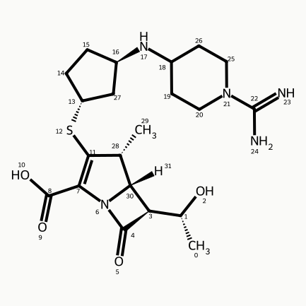 C[C@@H](O)[C@H]1C(=O)N2C(C(=O)O)=C(S[C@@H]3CC[C@@H](NC4CCN(C(=N)N)CC4)C3)[C@H](C)[C@H]12